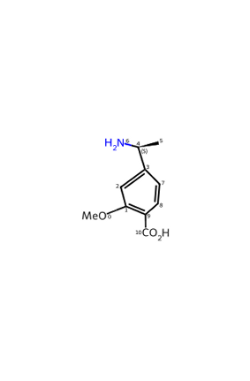 COc1cc([C@H](C)N)ccc1C(=O)O